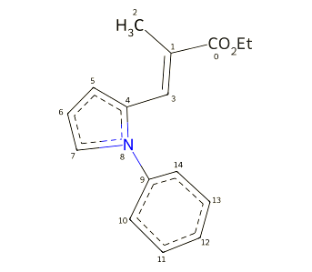 CCOC(=O)C(C)=Cc1cccn1-c1ccccc1